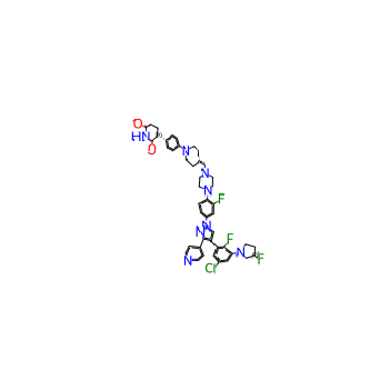 O=C1CC[C@H](c2ccc(N3CCC(CN4CCN(c5ccc(-n6cc(-c7cc(Cl)cc(N8CC[C@@H](F)C8)c7F)c(-c7ccncc7)n6)cc5F)CC4)CC3)cc2)C(=O)N1